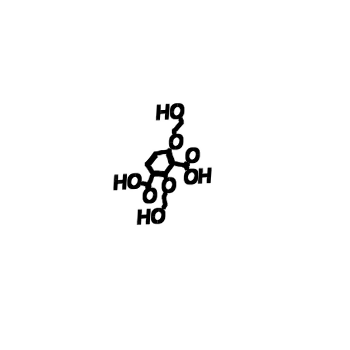 O=C(O)c1ccc(OCCO)c(C(=O)O)c1OCCO